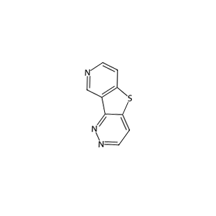 c1cc2sc3ccnnc3c2cn1